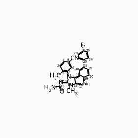 Cc1ccc(C#N)cc1-n1/c(=N/C(N)=O)n(C)c2cnc3ccc(-c4ccc(F)cc4)cc3c21